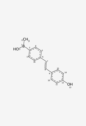 CB(O)c1ccc(C=Cc2ccc(O)cc2)cc1